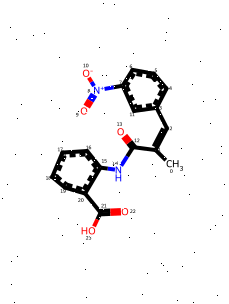 CC(=Cc1cccc([N+](=O)[O-])c1)C(=O)Nc1ccccc1C(=O)O